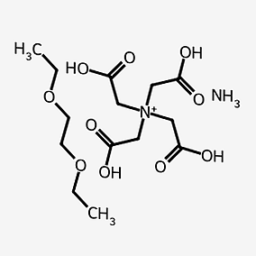 CCOCCOCC.N.O=C(O)C[N+](CC(=O)O)(CC(=O)O)CC(=O)O